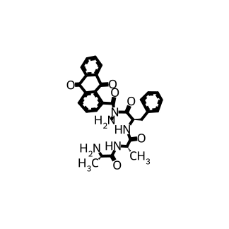 C[C@H](N)C(=O)N[C@@H](C)C(=O)N[C@H](Cc1ccccc1)C(=O)N(N)C(=O)c1cccc2c1C(=O)c1ccccc1C2=O